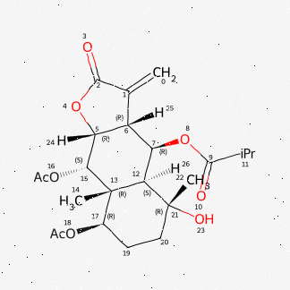 C=C1C(=O)O[C@@H]2[C@H]1[C@@H](OC(=O)C(C)C)[C@@H]1[C@@](C)([C@@H]2OC(C)=O)[C@H](OC(C)=O)CC[C@@]1(C)O